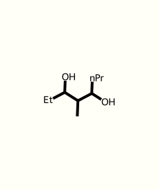 CCCC(O)C(C)C(O)CC